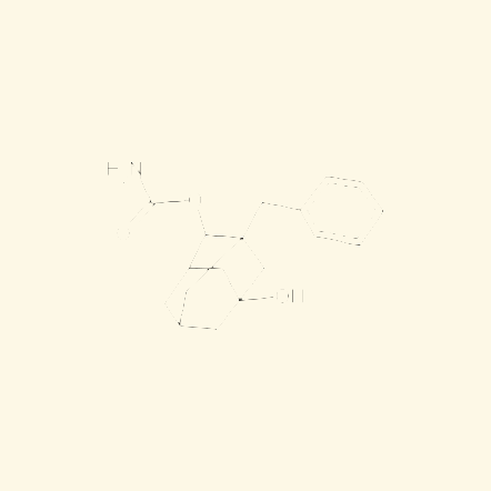 NC(=O)OC1C2CC3CC(O)(C2)CC1(Cc1ccccc1)C3